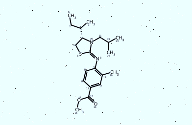 CCC(C)[C@H]1CSC(=Nc2ccc(C(=O)OC)cc2C)N1CC(C)C